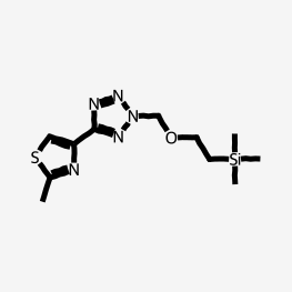 Cc1nc(-c2nnn(COCC[Si](C)(C)C)n2)cs1